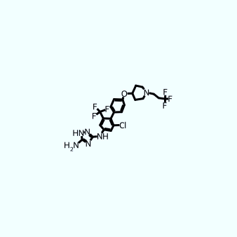 Nc1nc(Nc2cc(Cl)c(-c3ccc(OC4CCN(CCC(F)(F)F)CC4)cc3)c(C(F)(F)F)c2)n[nH]1